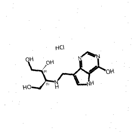 Cl.OC[C@H](NCc1c[nH]c2c(O)ncnc12)[C@@H](O)CO